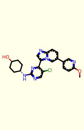 COc1ccc(-c2ccc3ncc(-c4nc(N[C@H]5CC[C@H](O)CC5)ncc4Cl)n3c2)cn1